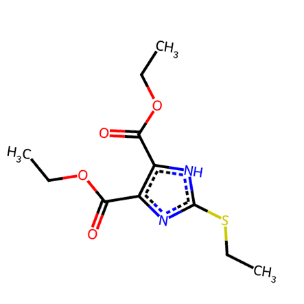 CCOC(=O)c1nc(SCC)[nH]c1C(=O)OCC